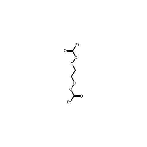 CCC(=O)OOCCOOC(=O)CC